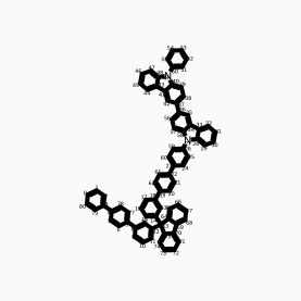 c1ccc(-c2ccc(-c3cccc(C4(c5cccc(-c6ccc(-c7ccc(-n8c9ccccc9c9cc(-c%10ccc%11c(c%10)c%10ccccc%10n%11-c%10ccccc%10)ccc98)cc7)cc6)c5)c5ccccc5-c5ccccc54)c3)cc2)cc1